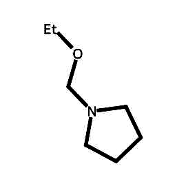 CCOCN1CCCC1